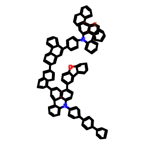 c1ccc(-c2ccc(-c3ccc(N(c4ccc(-c5ccc6oc7ccccc7c6c5)cc4)c4ccccc4-c4cccc(-c5cccc6cc(-c7ccc8c(c7)cc(-c7ccc(N(c9ccccc9-c9cccc(-c%10cccc%11ccccc%10%11)c9)c9cccc%10sc%11ccccc%11c9%10)cc7)c7ccccc78)ccc56)c4)cc3)cc2)cc1